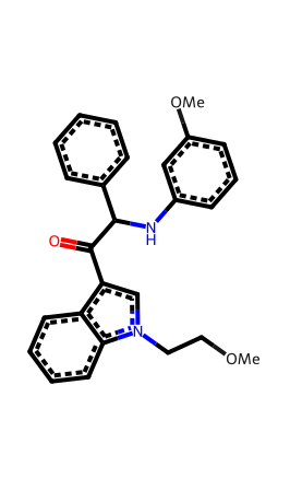 COCCn1cc(C(=O)C(Nc2cccc(OC)c2)c2ccccc2)c2ccccc21